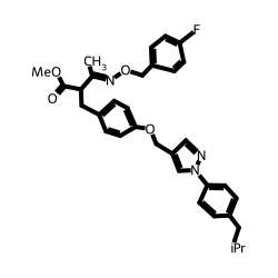 COC(=O)C(Cc1ccc(OCc2cnn(-c3ccc(CC(C)C)cc3)c2)cc1)C(C)=NOCc1ccc(F)cc1